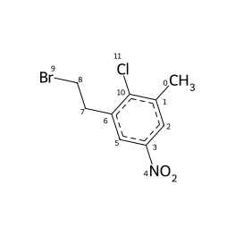 Cc1cc([N+](=O)[O-])cc(CCBr)c1Cl